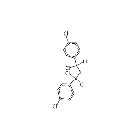 Clc1ccc(C(Cl)(Cl)SC(Cl)(Cl)c2ccc(Cl)cc2)cc1